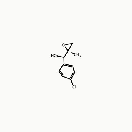 C[C@@]1([C@H](O)c2ccc(Cl)cc2)CO1